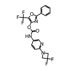 O=C(Nc1ccc(N2CC(F)(F)C2)nc1)Oc1nc(-c2ccccc2)oc1C(F)(F)F